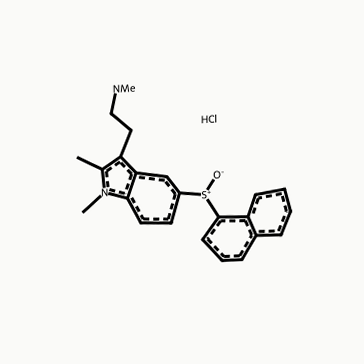 CNCCc1c(C)n(C)c2ccc([S+]([O-])c3cccc4ccccc34)cc12.Cl